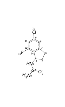 N[S+]([O-])NC1CCc2cc(Cl)cc(F)c21